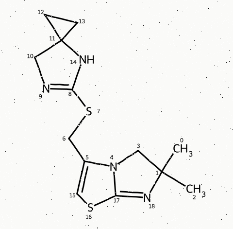 CC1(C)CN2C(CSC3=NCC4(CC4)N3)=CSC2=N1